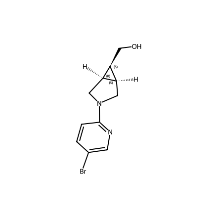 OC[C@H]1[C@H]2CN(c3ccc(Br)cn3)C[C@@H]12